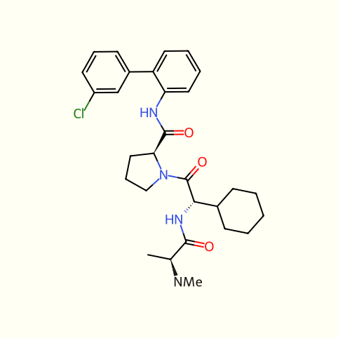 CN[C@@H](C)C(=O)N[C@H](C(=O)N1CCC[C@H]1C(=O)Nc1ccccc1-c1cccc(Cl)c1)C1CCCCC1